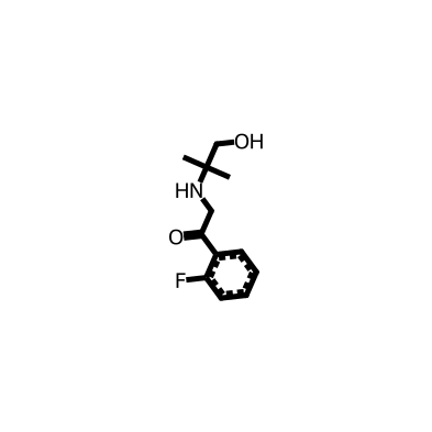 CC(C)(CO)NCC(=O)c1ccccc1F